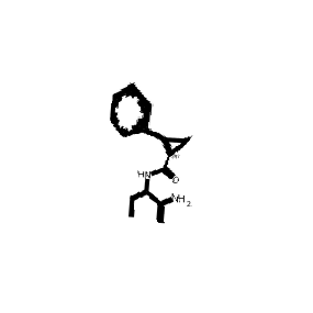 C=C(N)C(CC)NC(=O)[C@@H]1CC1c1ccccc1